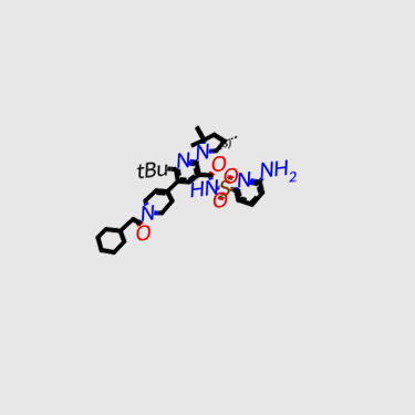 C[C@@H]1CN(c2nc(C(C)(C)C)c(C3=CCN(C(=O)CC4CCCCC4)CC3)cc2C(=O)NS(=O)(=O)c2cccc(N)n2)C(C)(C)C1